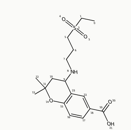 CCS(=O)(=O)CCCNC1CC(C)(C)Oc2ccc(C(=O)O)cc21